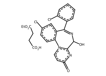 CCOC(=O)CCC(=O)O.O=c1ccn2c(n1)C(O)N=C(c1ccccc1Cl)c1cc(Cl)ccc1-2